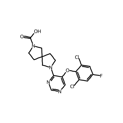 O=C(O)N1CCC2(CCN(c3ncncc3Oc3c(Cl)cc(F)cc3Cl)C2)C1